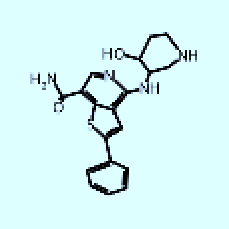 NC(=O)c1cnc(NC2CNCCC2O)c2cc(-c3ccccc3)sc12